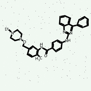 CCN1CCN(OCc2ccc(C)c(NC(=O)c3ccc(Nc4nc(-c5ccccc5)c5ccccc5n4)cc3)c2)CC1